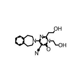 N#Cc1c(N2CCc3ccccc3CC2)nc(CCO)n(CCO)c1=O